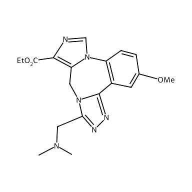 CCOC(=O)c1ncn2c1Cn1c(CN(C)C)nnc1-c1cc(OC)ccc1-2